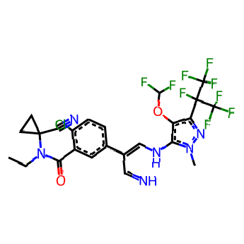 CCN(C(=O)c1cc(/C(C=N)=C/Nc2c(OC(F)F)c(C(F)(C(F)(F)F)C(F)(F)F)nn2C)ccc1Cl)C1(C#N)CC1